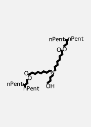 CCCCCC(CCCCC)CCOC(=O)CCCCCCCN(CCCCO)CCCCCCCC(=O)OCCC(CCCCC)CCCCC